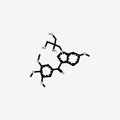 COc1ccc2c(C(=O)c3cc(OC)c(OC)c(OC)c3)cn(CC(N)(CO)CO)c2c1